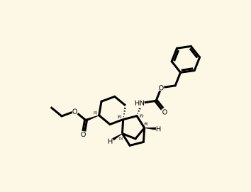 CCOC(=O)[C@H]1CCC[C@@]2(C1)[C@H]1CC[C@H](C1)[C@H]2NC(=O)OCc1ccccc1